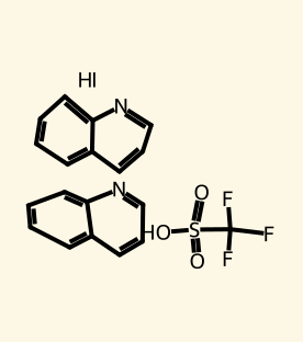 I.O=S(=O)(O)C(F)(F)F.c1ccc2ncccc2c1.c1ccc2ncccc2c1